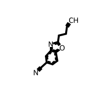 C#CCCc1nc2cc(C#N)ccc2o1